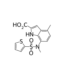 Cc1ccc(N(C)S(=O)(=O)c2cccs2)c2[nH]c(C(=O)O)cc12